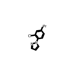 CC(C)c1ccc(-n2cccn2)c(Cl)c1